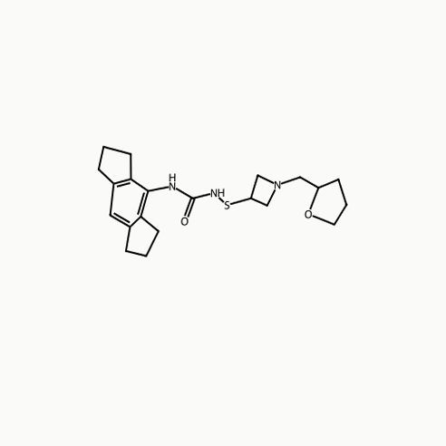 O=C(NSC1CN(CC2CCCO2)C1)Nc1c2c(cc3c1CCC3)CCC2